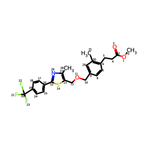 COC(=O)CCc1ccc(COCc2sc(-c3ccc(C(F)(F)F)cc3)nc2C)cc1C